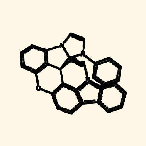 C1=CN2c3cccc4c3C3(c5c(ccc6c7ccccc7n(c56)-c5cncc[n+]53)O4)C2N1c1ccccc1